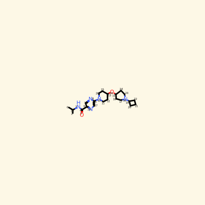 CC(C)NC(=O)c1cnc(N2CCC(OC3CCN(C4CCC4)CC3)CC2)cn1